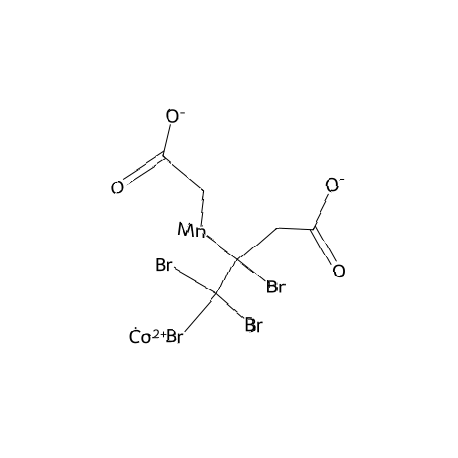 O=C([O-])[CH2][Mn][C](Br)(CC(=O)[O-])C(Br)(Br)Br.[Co+2]